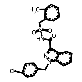 Cc1ccccc1CS(=O)(=O)NC(=O)c1nn(Cc2ccc(Cl)cc2)c2ccccc12